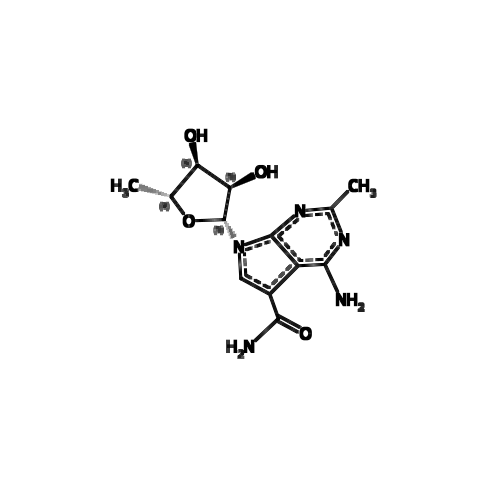 Cc1nc(N)c2c(C(N)=O)cn([C@@H]3O[C@H](C)[C@@H](O)[C@H]3O)c2n1